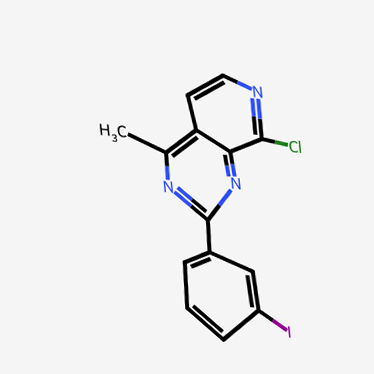 Cc1nc(-c2cccc(I)c2)nc2c(Cl)nccc12